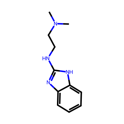 CN(C)CCNc1nc2ccccc2[nH]1